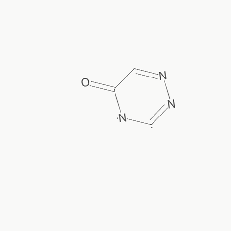 O=C1C=NN=[C][N]1